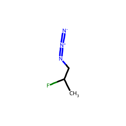 CC(F)CN=[N+]=[N-]